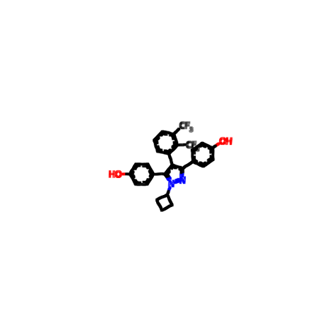 Oc1ccc(-c2nn(C3CCC3)c(-c3ccc(O)cc3)c2-c2cccc(C(F)(F)F)c2C(F)(F)F)cc1